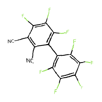 N#Cc1c(F)c(F)c(F)c(-c2c(F)c(F)c(F)c(F)c2F)c1C#N